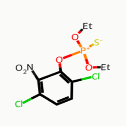 CCO[P+]([S-])(OCC)Oc1c(Cl)ccc(Cl)c1[N+](=O)[O-]